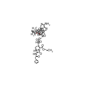 C=CCOC(=O)C1=C(CNS(=O)(=O)OC[C@H]2OC[C@](O[Si](C)(C)C(C)(C)C)(n3cnc4c(N)ncnc43)C2O[Si](C)(C)C(C)(C)C)CS[C@@H]2[C@H](NC(=O)Cc3cccs3)C(=O)N12